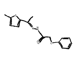 C/C(=N\NC(=O)COc1ccccc1)c1ccc(C)s1